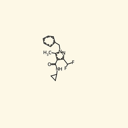 Cc1c(C(=O)NC2CC2)c(C(F)F)nn1Cc1ccccc1